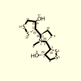 CN1[C@@H]([C@@H]2SSC[C@@H]2O)CC[C@@H]1[C@@H]1SSC[C@@H]1O